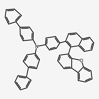 c1ccc(-c2ccc(N(c3ccc(-c4ccccc4)cc3)c3ccc(-c4ccc5ccccc5c4-c4cccc5c4oc4ccccc45)cc3)cc2)cc1